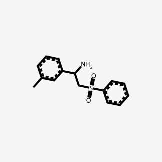 Cc1cccc(C(N)CS(=O)(=O)c2ccccc2)c1